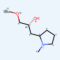 CN1CCCC1C[C@@H](O)COC(C)(C)C